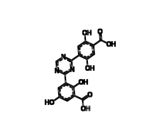 O=C(O)c1cc(O)c(-c2ncnc(-c3cc(O)cc(C(=O)O)c3O)n2)cc1O